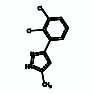 Cc1cc(-c2cccc(Cl)c2Cl)n[nH]1